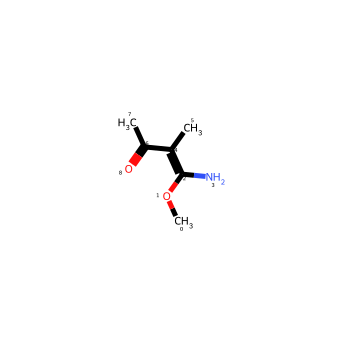 COC(N)=C(C)C(C)=O